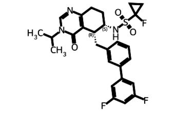 CC(C)n1cnc2c(c1=O)[C@@H](Cc1cccc(-c3cc(F)cc(F)c3)c1)[C@@H](NS(=O)(=O)C1(F)CC1)CC2